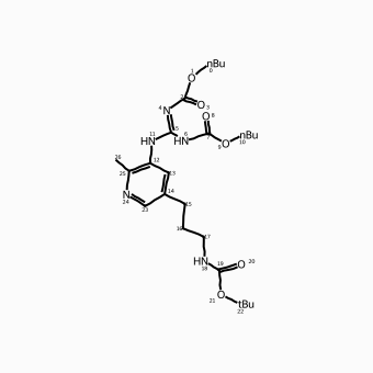 CCCCOC(=O)/N=C(\NC(=O)OCCCC)Nc1cc(CCCNC(=O)OC(C)(C)C)cnc1C